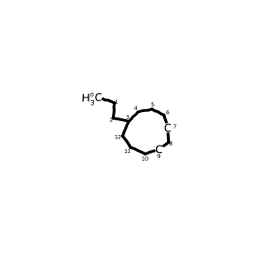 CC[CH]C1CCCCCCCCC1